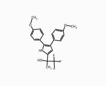 COc1ccc(-c2cc(C(C)(O)C(F)(F)F)[nH]c2-c2ccc(OC)cc2)cc1